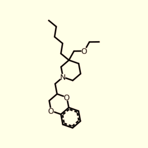 CCCCCC1(COCC)CCCN(CC2COc3ccccc3O2)C1